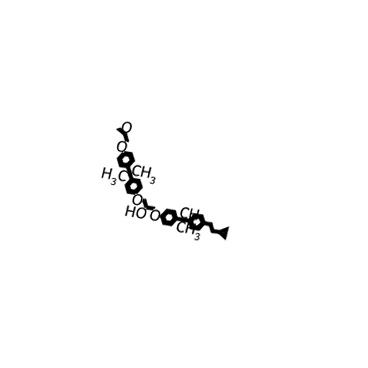 CC(C)(c1ccc(CCC2CC2)cc1)c1ccc(OCC(O)COc2ccc(C(C)(C)c3ccc(OCC4CO4)cc3)cc2)cc1